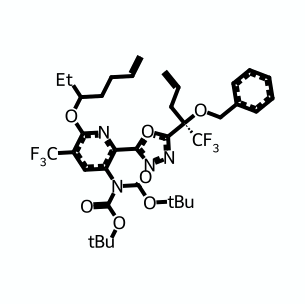 C=CCCC(CC)Oc1nc(-c2nnc([C@@](CC=C)(OCc3ccccc3)C(F)(F)F)o2)c(N(C(=O)OC(C)(C)C)C(=O)OC(C)(C)C)cc1C(F)(F)F